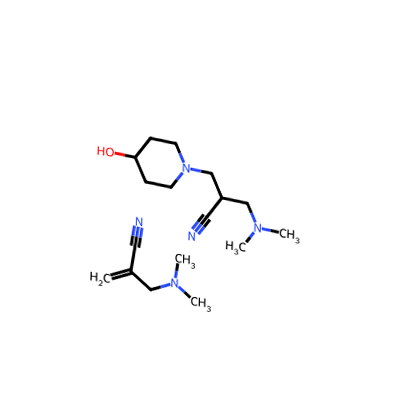 C=C(C#N)CN(C)C.CN(C)CC(C#N)CN1CCC(O)CC1